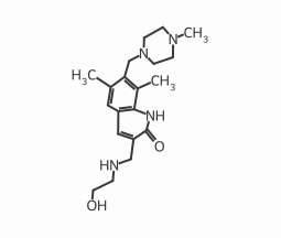 Cc1cc2cc(CNCCO)c(=O)[nH]c2c(C)c1CN1CCN(C)CC1